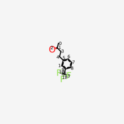 CC(=O)CCc1cccc(C(F)(F)F)c1